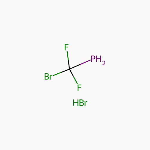 Br.FC(F)(P)Br